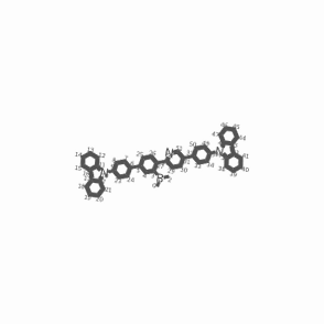 CB(C)c1cc(-c2ccc(-n3c4ccccc4c4ccccc43)cc2)ccc1-c1ccc(-c2ccc(-n3c4ccccc4c4ccccc43)cc2)cn1